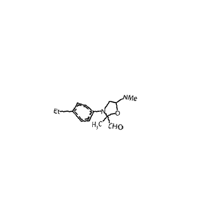 CCc1ccc(N2CC(NC)OC2(C)C=O)cc1